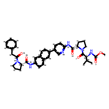 COC(=O)N[C@H](C(=O)N1CCC[C@H]1C(=O)Nc1ccc(-c2ccc3cc(NC(=O)[C@@H]4CCCN4C(=O)Cc4ccccc4)ccc3c2)cn1)C(C)C